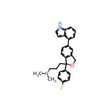 CN(C)CCCC1(c2ccc(F)cc2)OCc2cc(-c3cccc4[nH]ccc34)ccc21